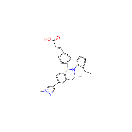 CCc1ccccc1N1[C@@H](c2ccc(C=CC(=O)O)cc2)c2ccc(-c3cnn(C)c3)cc2C[C@H]1C